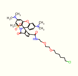 CN(C)c1ccc2c(c1)Oc1cc(N(C)C)ccc1C21c2cc(C(=O)NCCOCCOCCCCCCCl)ccc2C(=O)N1S(C)(=O)=O